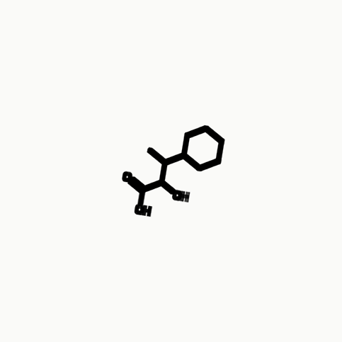 CC(C1CCCCC1)C(O)C(=O)O